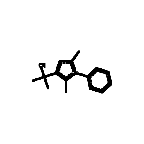 Cc1cc(C(C)(C)C#N)c(C)n1-c1ccccc1